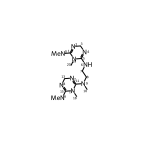 CNC1=NCN=C(NCCN(C)C2=NCN=C(NC)N2C)N1C